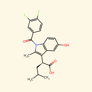 Cc1c([C@H](CC(C)C)C(=O)O)c2cc(O)ccc2n1C(=O)c1ccc(F)c(F)c1